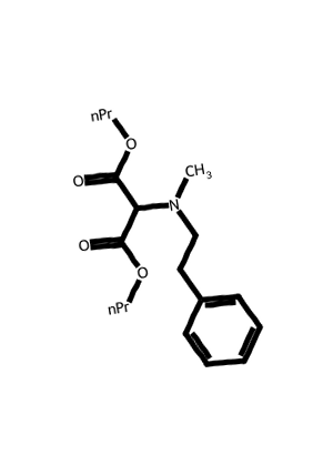 CCCOC(=O)C(C(=O)OCCC)N(C)CCc1ccccc1